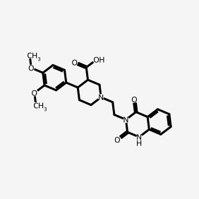 COc1ccc(C2CCN(CCn3c(=O)[nH]c4ccccc4c3=O)CC2C(=O)O)cc1OC